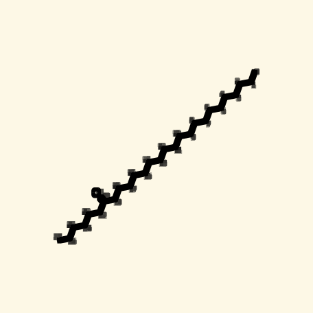 CCCCCCCCCCCCCCCCCCCCC(=O)CCCCCC